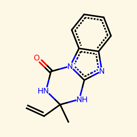 C=CC1(C)NC(=O)n2c(nc3ccccc32)N1